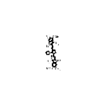 CCN1/C(=C/C=C2\CCC(/C=C/C3=[N+](CC)c4cc(C)c(OC)c5c4C35C)=C2N2CCCC2)C(C)(C)c2cc(OC)c(C)cc21